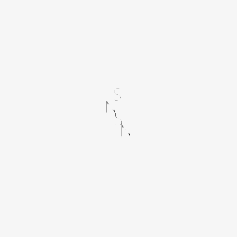 CCN(S(C)(C)C)S(C)(C)N1C(C)CCCC1C